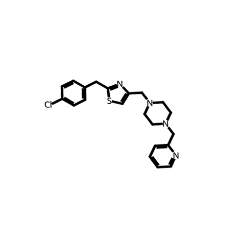 Clc1ccc(Cc2nc(CN3CCN(Cc4ccccn4)CC3)cs2)cc1